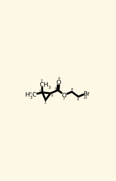 CC1(C)CC1C(=O)OCCBr